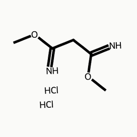 COC(=N)CC(=N)OC.Cl.Cl